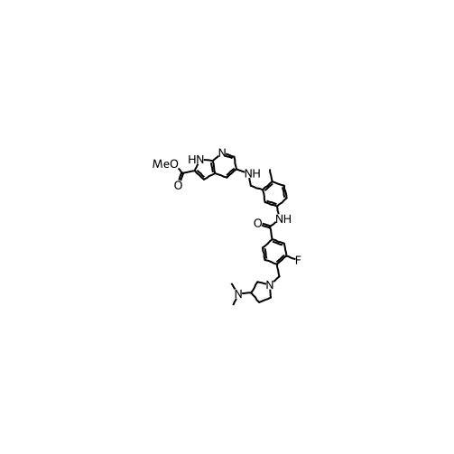 COC(=O)c1cc2cc(NCc3cc(NC(=O)c4ccc(CN5CCC(N(C)C)C5)c(F)c4)ccc3C)cnc2[nH]1